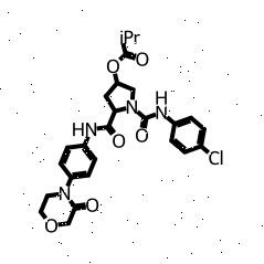 CC(C)C(=O)OC1CC(C(=O)Nc2ccc(N3CCOCC3=O)cc2)N(C(=O)Nc2ccc(Cl)cc2)C1